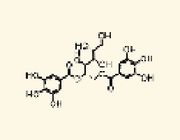 O=C(OC[C@H](OC(=O)c1cc(O)c(O)c(O)c1)[C@@H](O)[C@H](O)[C@H](O)CO)c1cc(O)c(O)c(O)c1